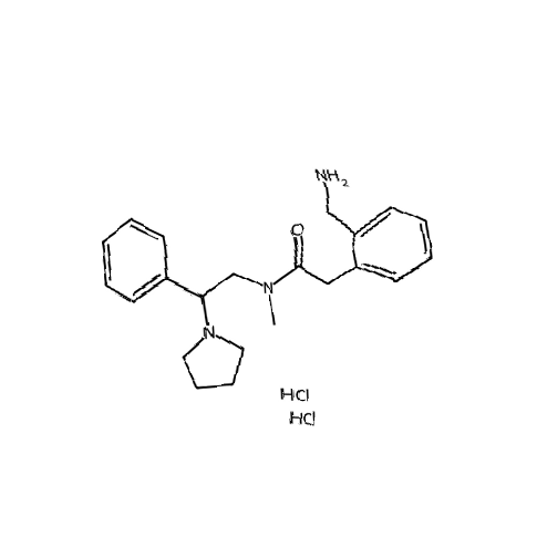 CN(CC(c1ccccc1)N1CCCC1)C(=O)Cc1ccccc1CN.Cl.Cl